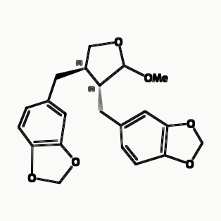 COC1OC[C@H](Cc2ccc3c(c2)OCO3)[C@H]1Cc1ccc2c(c1)OCO2